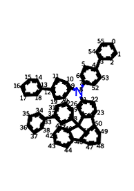 c1ccc(-c2ccc(N(c3ccc(-c4ccccc4)cc3)c3ccc4c(c3)C3(c5cccc(-c6ccccc6)c5)c5ccccc5-c5cccc-4c53)cc2)cc1